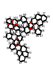 c1ccc(-c2cc3c4c(c2)N(c2c(-c5ccccc5)cccc2-c2ccccc2)c2cc(N(c5ccccc5)c5ccc6ccc7cccc8ccc5c6c78)ccc2B4c2ccc(N(c4ccccc4)c4ccc5ccc6cccc7ccc4c5c67)cc2N3c2c(-c3ccccc3)cccc2-c2ccccc2)cc1